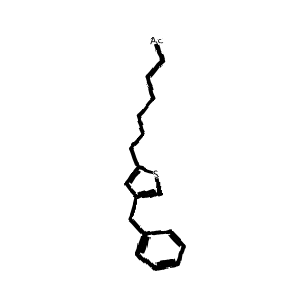 CC(=O)CCCCCCc1cc(Cc2ccccc2)cs1